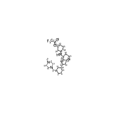 CN1CCN(Cc2cccc(-c3cc4nccc(Nc5cccc(OC(=O)C(F)(F)F)c5)c4s3)c2)CC1